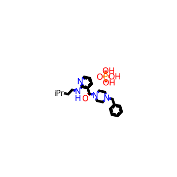 CC(C)CCNc1ncccc1C(=O)N1CCN(Cc2ccccc2)CC1.O=P(O)(O)O